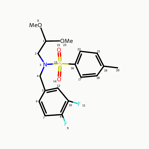 COC(CN(Cc1ccc(F)c(F)c1)S(=O)(=O)c1ccc(C)cc1)OC